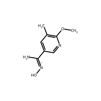 COc1ncc(/C(N)=N/O)cc1C